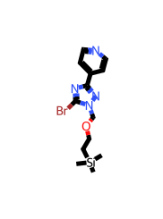 C[Si](C)(C)CCOCn1nc(-c2ccncc2)nc1Br